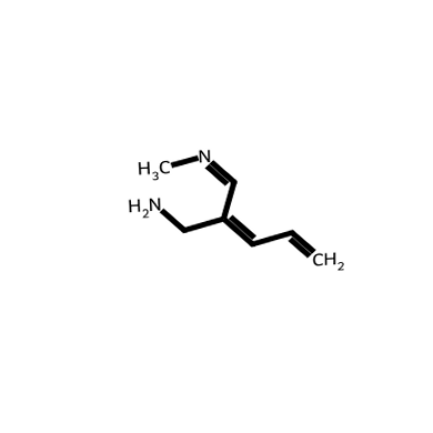 C=C/C=C(\C=N/C)CN